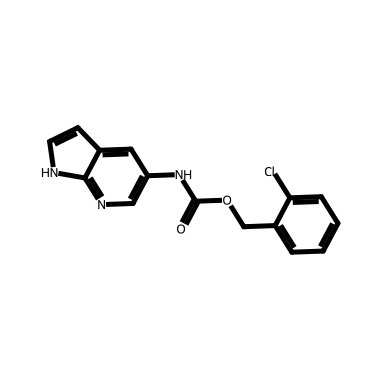 O=C(Nc1cnc2[nH]ccc2c1)OCc1ccccc1Cl